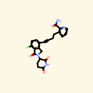 NC(=O)c1ncccc1CCC#Cc1ccc(F)c2c1CN(C1CCC(=O)NC1=O)C2=O